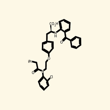 CC(C)CC(=O)N(CCOc1ccc(C[C@H](Nc2ccccc2C(=O)c2ccccc2)C(=O)O)cc1)c1ccccc1Cl